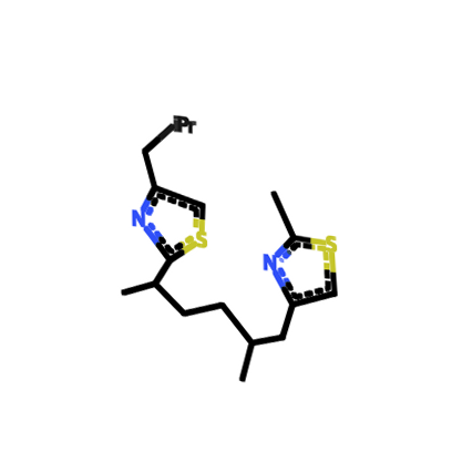 Cc1nc(CC(C)CCC(C)c2nc(CC(C)C)cs2)cs1